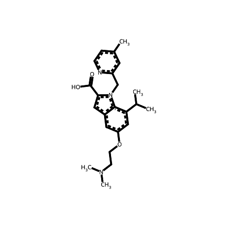 Cc1ccnc(Cn2c(C(=O)O)cc3cc(OCCN(C)C)cc(C(C)C)c32)c1